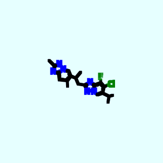 Cc1nc2cc(C)c(C(C)Cc3nc4c(F)c(Cl)c(C(C)C)cn4n3)cn2n1